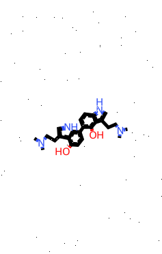 CN(C)CCc1c[nH]c2ccc(-c3ccc(O)c4c(CCN(C)C)c[nH]c34)c(O)c12